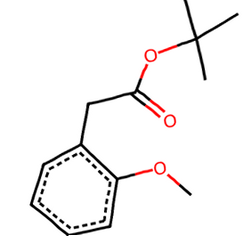 COc1ccccc1CC(=O)OC(C)(C)C